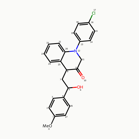 COc1ccc(C(O)CC2C(=O)CN(c3ccc(Cl)cc3)c3ccccc32)cc1